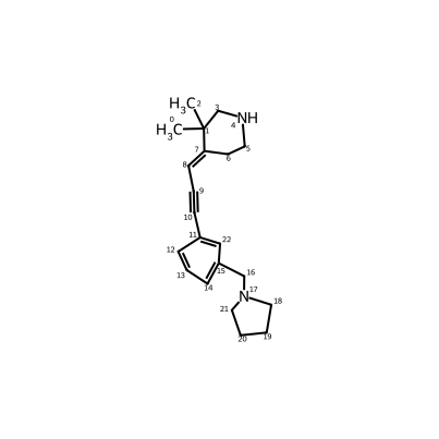 CC1(C)CNCC/C1=C\C#Cc1cccc(CN2CCCC2)c1